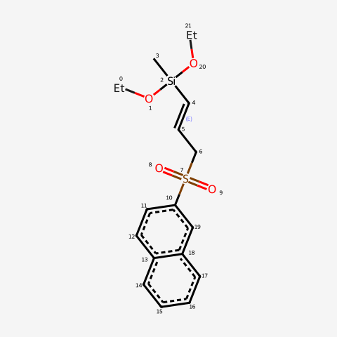 CCO[Si](C)(/C=C/CS(=O)(=O)c1ccc2ccccc2c1)OCC